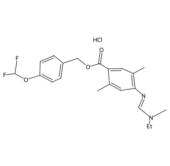 CCN(C)C=Nc1cc(C)c(C(=O)OCc2ccc(OC(F)F)cc2)cc1C.Cl